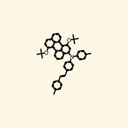 Cc1ccc(C=Cc2ccc(N(c3ccc(C)cc3)c3cc(OC(C)(C)C)c4c5cccc6ccc(OC(C)(C)C)c(c7cccc3c74)c65)cc2)cc1